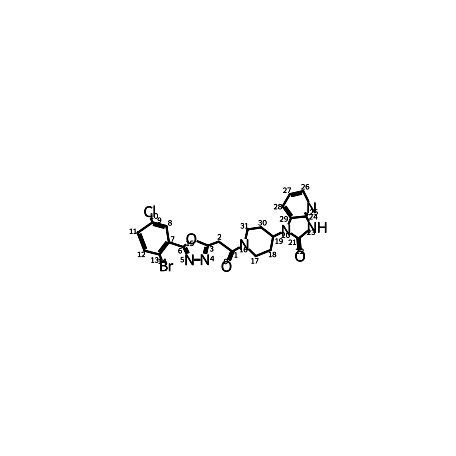 O=C(Cc1nnc(-c2cc(Cl)ccc2Br)o1)N1CCC(n2c(=O)[nH]c3ncccc32)CC1